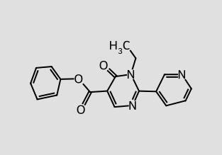 CCn1c(-c2cccnc2)ncc(C(=O)Oc2ccccc2)c1=O